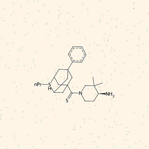 CCC[SH]1C2CC3(C(=S)N4CC[C@H](N)C(C)(C)C4)CC1CC(c1ccccc1)(C2)C3